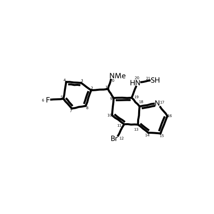 CNC(c1ccc(F)cc1)c1cc(Br)c2cccnc2c1NS